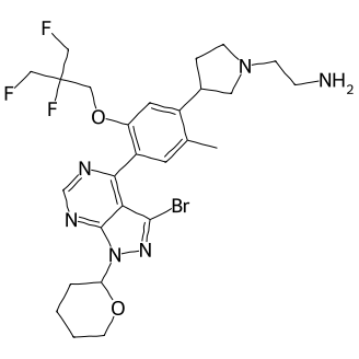 Cc1cc(-c2ncnc3c2c(Br)nn3C2CCCCO2)c(OCC(F)(CF)CF)cc1C1CCN(CCN)C1